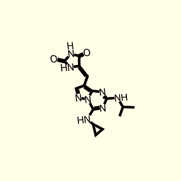 CC(C)Nc1nc(NC2CC2)n2ncc(/C=C3\NC(=O)NC3=O)c2n1